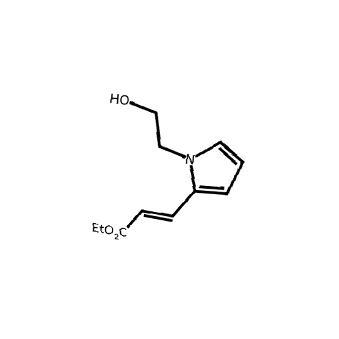 CCOC(=O)C=Cc1cccn1CCO